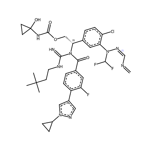 C=N/C=N\N(c1cc([C@@H](COC(=O)NC2(O)CC2)N(C(=N)NCCC(C)(C)C)C(=O)c2ccc(-c3cnn(C4CC4)c3)c(F)c2)ccc1Cl)C(F)F